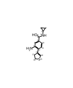 Nc1cc(C(O)NC2CC2)ccc1C1=CSCC1